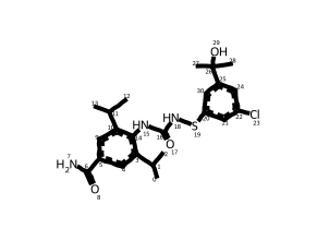 CC(C)c1cc(C(N)=O)cc(C(C)C)c1NC(=O)NSc1cc(Cl)cc(C(C)(C)O)c1